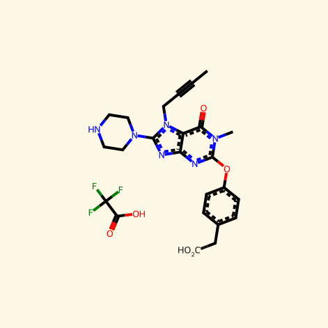 CC#CCn1c(N2CCNCC2)nc2nc(Oc3ccc(CC(=O)O)cc3)n(C)c(=O)c21.O=C(O)C(F)(F)F